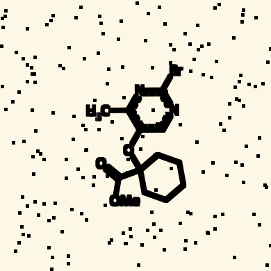 COC(=O)C1(Oc2cnc(Br)nc2C)CCCCC1